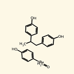 C=O.CC(C)(C)c1ccc(O)cc1.CC(Cc1ccc(O)cc1)c1ccc(O)cc1